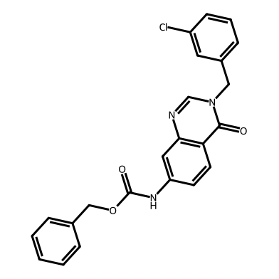 O=C(Nc1ccc2c(=O)n(Cc3cccc(Cl)c3)cnc2c1)OCc1ccccc1